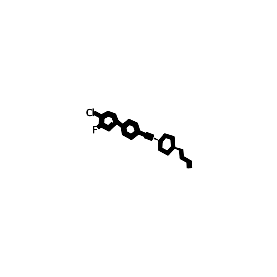 C=CCC[C@H]1CC[C@H](C#Cc2ccc(-c3ccc(Cl)c(F)c3)cc2)CC1